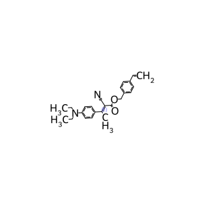 C=Cc1ccc(COC(=O)/C(C#N)=C(\C)c2ccc(N(CC)CC)cc2)cc1